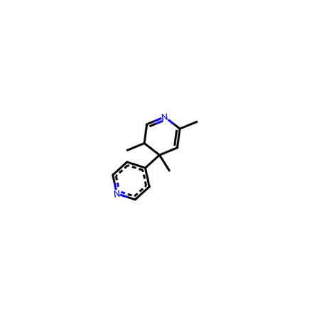 CC1=CC(C)(c2ccncc2)C(C)C=N1